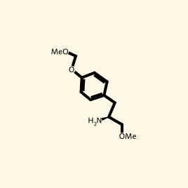 COCOc1ccc(C[C@H](N)COC)cc1